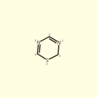 [C]1=NCSC=N1